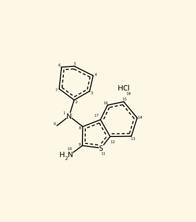 CN(c1ccccc1)c1c(N)sc2ccccc12.Cl